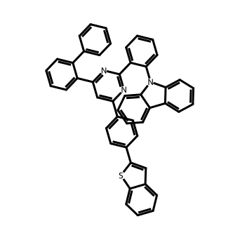 c1ccc(-c2ccccc2-c2cc(-c3ccc(-c4cc5ccccc5s4)cc3)nc(-c3ccccc3-n3c4ccccc4c4ccccc43)n2)cc1